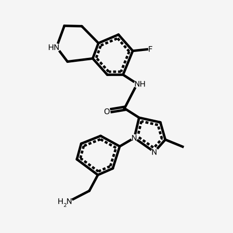 Cc1cc(C(=O)Nc2cc3c(cc2F)CCNC3)n(-c2cccc(CN)c2)n1